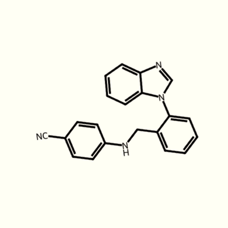 N#Cc1ccc(NCc2ccccc2-n2cnc3ccccc32)cc1